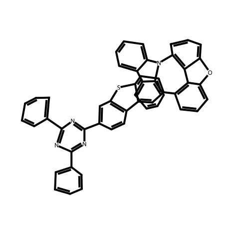 c1ccc(-c2nc(-c3ccccc3)nc(-c3ccc4c(c3)sc3ccc(-c5cccc6oc7cccc(-n8c9ccccc9c9ccccc98)c7c56)cc34)n2)cc1